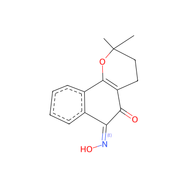 CC1(C)CCC2=C(O1)c1ccccc1/C(=N\O)C2=O